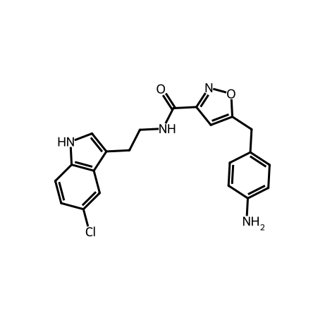 Nc1ccc(Cc2cc(C(=O)NCCc3c[nH]c4ccc(Cl)cc34)no2)cc1